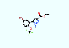 CCOC(=O)c1cc(-c2cc(Br)ccc2OC(F)(F)F)n(C)n1